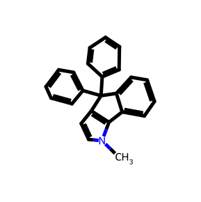 Cn1ccc2c1-c1ccccc1C2(c1ccccc1)c1ccccc1